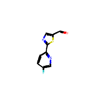 O=Cc1cnc(-c2ccc(F)cn2)s1